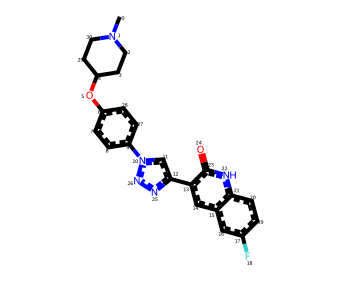 CN1CCC(Oc2ccc(-n3cc(-c4cc5cc(F)ccc5[nH]c4=O)nn3)cc2)CC1